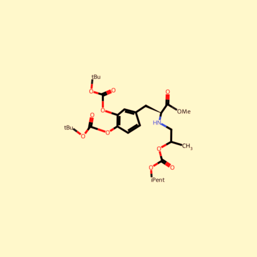 CCCC(C)OC(=O)OC(C)CN[C@@H](Cc1ccc(OC(=O)OC(C)(C)C)c(OC(=O)OC(C)(C)C)c1)C(=O)OC